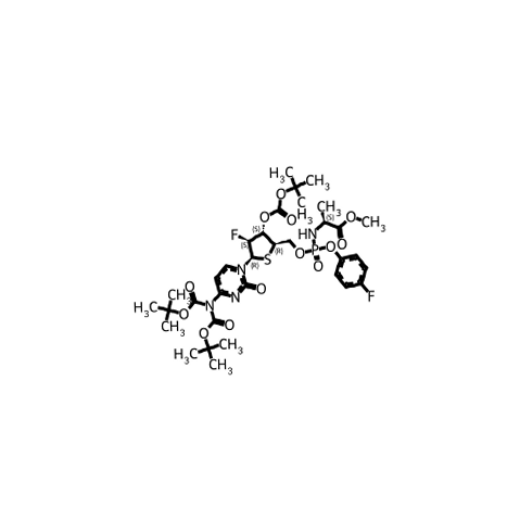 COC(=O)[C@H](C)NP(=O)(OC[C@H]1S[C@@H](n2ccc(N(C(=O)OC(C)(C)C)C(=O)OC(C)(C)C)nc2=O)[C@@H](F)[C@@H]1OC(=O)OC(C)(C)C)Oc1ccc(F)cc1